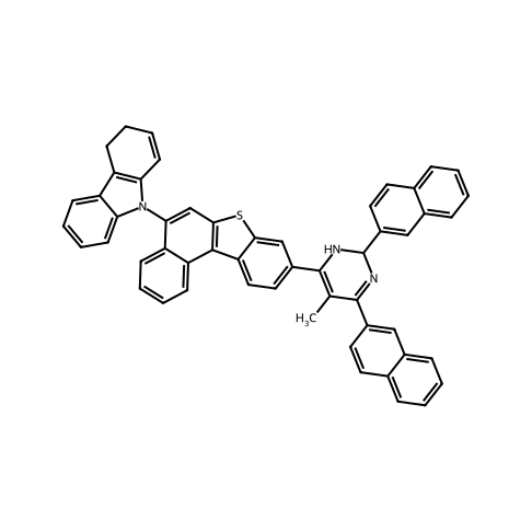 CC1=C(c2ccc3c(c2)sc2cc(-n4c5c(c6ccccc64)CCC=C5)c4ccccc4c23)NC(c2ccc3ccccc3c2)N=C1c1ccc2ccccc2c1